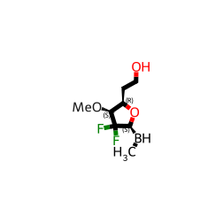 CB[C@@H]1O[C@H](CCO)[C@H](OC)C1(F)F